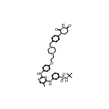 Cc1cnc(Nc2ccc(OCCN3CCN(Cc4ccc(C5CCC(=O)NC5=O)cc4)CC3)cc2)nc1Nc1cccc(S(=O)(=O)NC(C)(C)C)c1